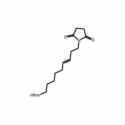 CCCCCCCCCCCCCC/C=C/CCN1C(=O)CCC1=O